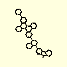 c1ccc(-c2ccc3c(c2)c2ccccc2c2c4ccc(-c5ccc(-c6ccc7sc8ccccc8c7c6)c6ccccc56)cc4c4ccccc4c32)cc1